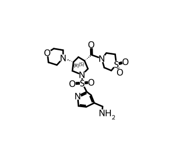 NCc1ccnc(S(=O)(=O)N2C[C@@H](C(=O)N3CCS(=O)(=O)CC3)C[C@@H](N3CCOCC3)C2)c1